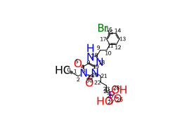 C#CCn1c(=O)c2[nH]c(CCc3cccc(Br)c3)nc2n(CCCCP(=O)(O)O)c1=O